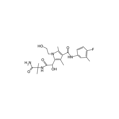 Cc1cc(NC(=O)c2c(C)c(C(O)C(=O)NC(C)(C)C(N)=O)n(CCO)c2C)ccc1F